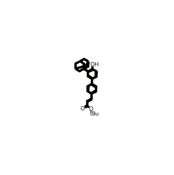 CC(C)(C)OC(=O)C=Cc1ccc(-c2ccc(O)c(C34CC5CC(CC(C5)C3)C4)c2)cc1